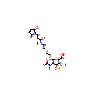 CC(=O)NC1C(OCCOCCNC(=O)CCN2C(=O)C=CC2=O)OC(CO)C(O)C1O